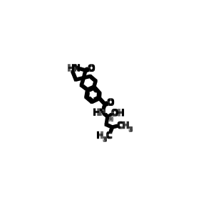 CC(C)C[C@H](O)NC(=O)c1ccc2c(c1)CCC1(CCNC1=O)C2